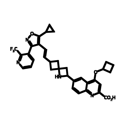 O=C(O)c1cc(OC2CCC2)c2cc(C3CC4(CC(C=Cc5c(-c6cccnc6C(F)(F)F)noc5C5CC5)C4)N3)ccc2n1